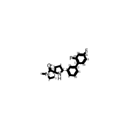 CN1CC[C@@]2(CC[C@H](c3cccc(-c4ccc(F)cc4F)c3)N2)C1=O